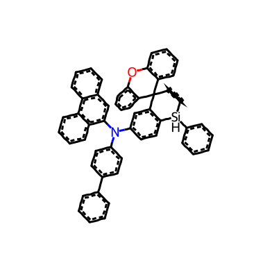 c1ccc(-c2ccc(N(c3ccc4c(c3)C3(c5ccccc5Oc5ccccc53)c3ccccc3[SiH]4c3ccccc3)c3cc4ccccc4c4ccccc34)cc2)cc1